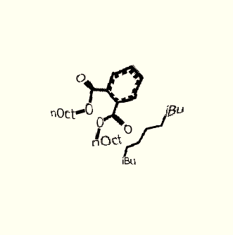 CCC(C)CCCCC(C)CC.CCCCCCCCOC(=O)c1ccccc1C(=O)OCCCCCCCC